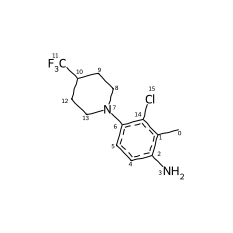 Cc1c(N)ccc(N2CCC(C(F)(F)F)CC2)c1Cl